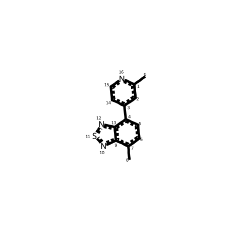 Cc1cc(-c2ccc(C)c3nsnc23)ccn1